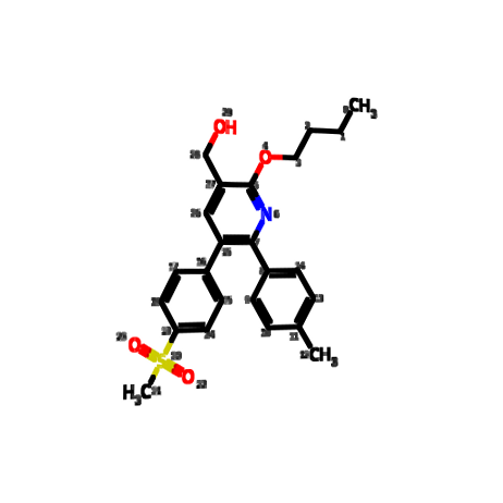 CCCCOc1nc(-c2ccc(C)cc2)c(-c2ccc(S(C)(=O)=O)cc2)cc1CO